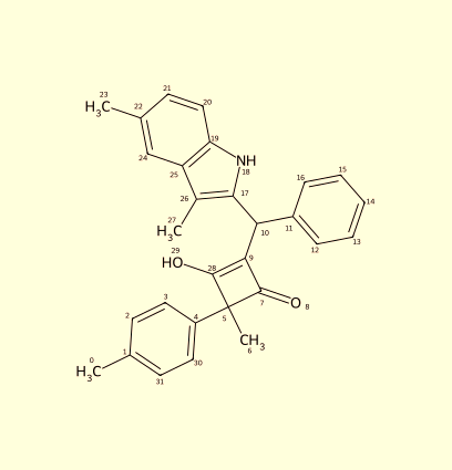 Cc1ccc(C2(C)C(=O)C(C(c3ccccc3)c3[nH]c4ccc(C)cc4c3C)=C2O)cc1